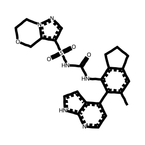 Cc1cc2c(c(NC(=O)NS(=O)(=O)c3cnn4c3COCC4)c1-c1ccnc3[nH]ccc13)CCC2